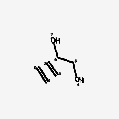 C=C.C=C.OCCO